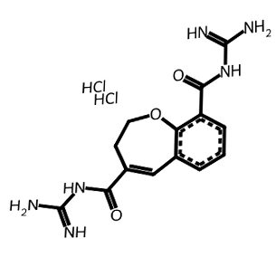 Cl.Cl.N=C(N)NC(=O)C1=Cc2cccc(C(=O)NC(=N)N)c2OCC1